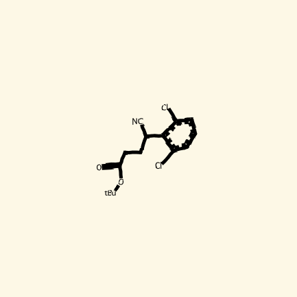 CC(C)(C)OC(=O)CCC(C#N)c1c(Cl)cccc1Cl